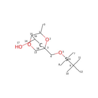 CC1OC2(CO[Si](C)(C)C(C)(C)C)COC1C(O)C2